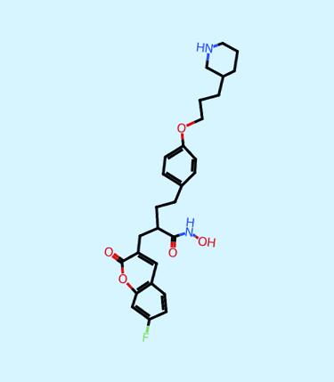 O=C(NO)C(CCc1ccc(OCCCC2CCCNC2)cc1)Cc1cc2ccc(F)cc2oc1=O